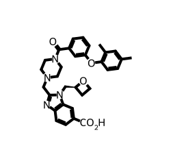 Cc1ccc(Oc2cccc(C(=O)N3CCN(Cc4nc5ccc(C(=O)O)cc5n4C[C@@H]4CCO4)CC3)c2)c(C)c1